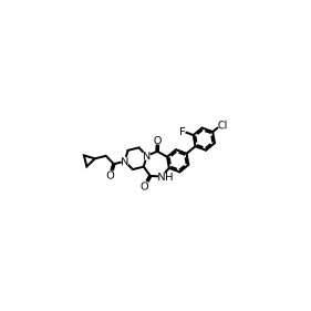 O=C1Nc2ccc(-c3ccc(Cl)cc3F)cc2C(=O)N2CCN(C(=O)CC3CC3)CC12